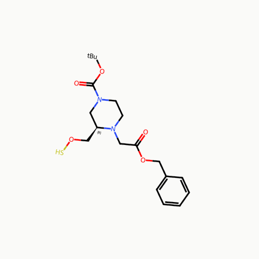 CC(C)(C)OC(=O)N1CCN(CC(=O)OCc2ccccc2)[C@@H](COS)C1